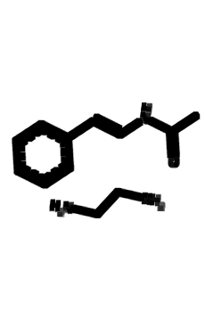 CC(=O)NC=Cc1ccccc1.NCCN